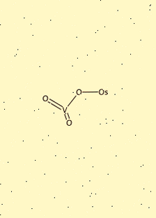 [O]=[V](=[O])[O][Os]